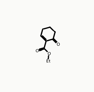 CCOC(=O)C1=CCCCC1=O